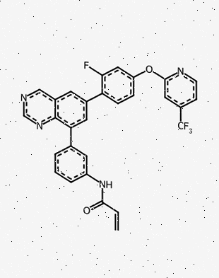 C=CC(=O)Nc1cccc(-c2cc(-c3ccc(Oc4cc(C(F)(F)F)ccn4)cc3F)cc3cncnc23)c1